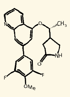 COc1c(F)cc(-c2cc(O[C@H](C)C3CNC(=O)C3)c3cccnc3c2)cc1F